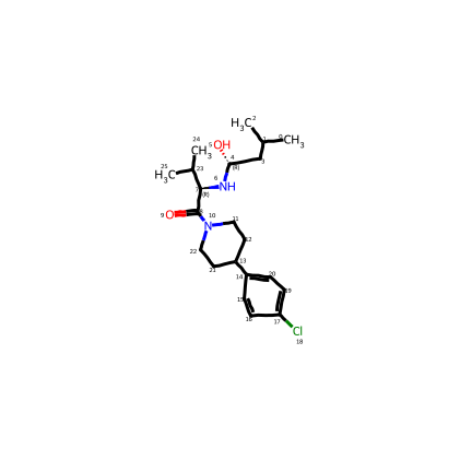 CC(C)C[C@@H](O)N[C@@H](C(=O)N1CCC(c2ccc(Cl)cc2)CC1)C(C)C